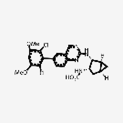 COc1cc(OC)c(Cl)c(-c2ccc3nc(N[C@@H]4[C@H]5C[C@H]5C[C@@H]4NC(=O)O)ncc3c2)c1Cl